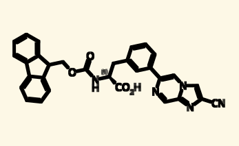 N#Cc1cn2cc(-c3cccc(C[C@H](NC(=O)OCC4c5ccccc5-c5ccccc54)C(=O)O)c3)ncc2n1